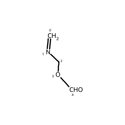 C=NCOC=O